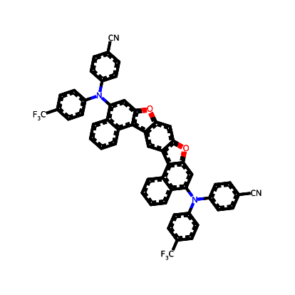 N#Cc1ccc(N(c2ccc(C(F)(F)F)cc2)c2cc3oc4cc5oc6cc(N(c7ccc(C#N)cc7)c7ccc(C(F)(F)F)cc7)c7ccccc7c6c5cc4c3c3ccccc23)cc1